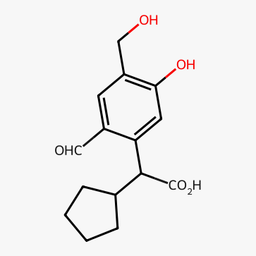 O=Cc1cc(CO)c(O)cc1C(C(=O)O)C1CCCC1